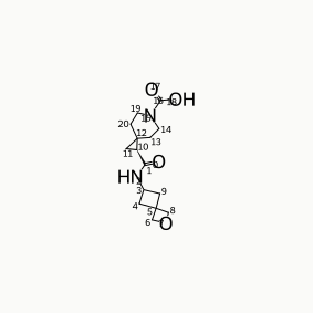 O=C(NC1CC2(COC2)C1)[C@H]1CC12CCN(C(=O)O)CC2